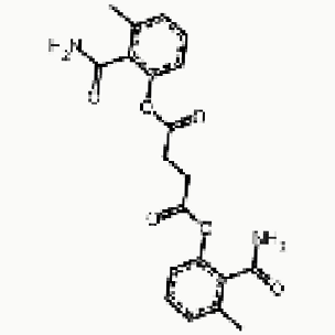 Cc1cccc(OC(=O)CCC(=O)Oc2cccc(C)c2C(N)=O)c1C(N)=O